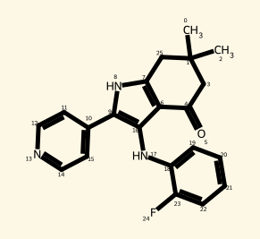 CC1(C)CC(=O)c2c([nH]c(-c3ccncc3)c2Nc2ccccc2F)C1